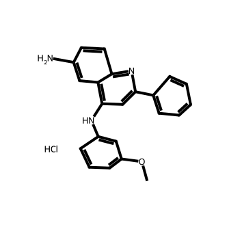 COc1cccc(Nc2cc(-c3ccccc3)nc3ccc(N)cc23)c1.Cl